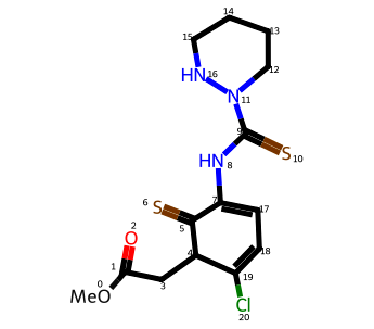 COC(=O)CC1C(=S)C(NC(=S)N2CCCCN2)=CC=C1Cl